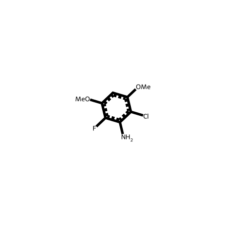 COc1cc(OC)c(Cl)c(N)c1F